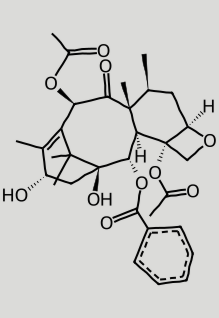 CC(=O)O[C@H]1C(=O)[C@@]2(C)[C@H]([C@H](OC(=O)c3ccccc3)[C@]3(O)C[C@H](O)C(C)=C1C3(C)C)[C@]1(OC(C)=O)CO[C@@H]1C[C@@H]2C